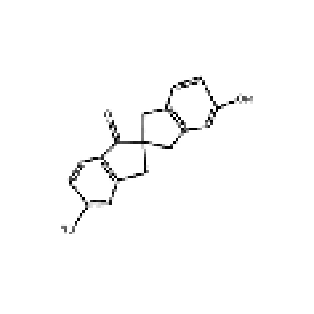 O=C1c2ccc(O)cc2CC12Cc1ccc(O)cc1C2